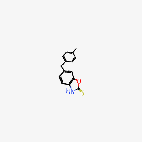 Cc1ccc(Cc2ccc3[nH]c(=S)oc3c2)cc1